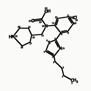 CCCCc1csc(-c2ccccc2N(CC2CCNCC2)C(=O)O)n1.Cl